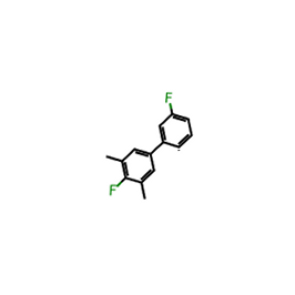 Cc1cc(-c2[c]ccc(F)c2)cc(C)c1F